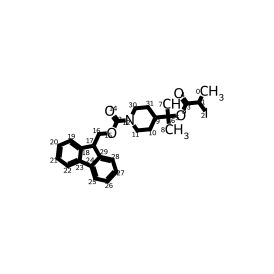 CC(I)C(=O)OC(C)(C)C1CCN(C(=O)OCC2c3ccccc3-c3ccccc32)CC1